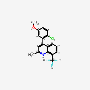 COc1ccc(Cl)c(-c2cc(C)nc3c(C(F)(F)F)cccc23)c1